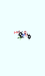 O=C(OCc1ccccc1)N1CC(F)(F)C2CC(O)CC21